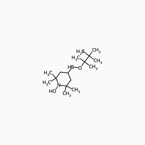 BC(C)(C)C(C)(C)OBC1CC(C)(C)N(O)C(C)(C)C1